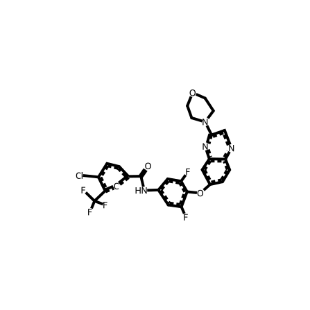 O=C(Nc1cc(F)c(Oc2ccc3ncc(N4CCOCC4)nc3c2)c(F)c1)c1ccc(Cl)c(C(F)(F)F)c1